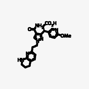 COc1ccc([C@H](CC(=O)O)c2nn(CCc3ccc4c(n3)NCCC4)cc2C(N)=O)cn1